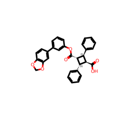 O=C(O)[C@H]1[C@H](c2ccccc2)[C@H](C(=O)Oc2cccc(-c3ccc4c(c3)OCO4)c2)[C@H]1c1ccccc1